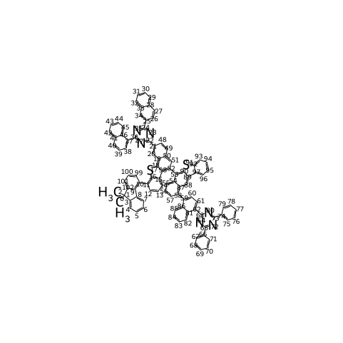 CC1(C)c2ccccc2-c2c(-c3cccc4c3sc3c5cc(-c6nc(-c7ccc8ccccc8c7)nc(-c7cccc8ccccc78)n6)ccc5cc(-c5c6cccc(-c7ccc(-c8nc(-c9ccccc9)nc(-c9ccccc9)n8)c8ccccc78)c6cc6c5sc5ccccc56)c43)cccc21